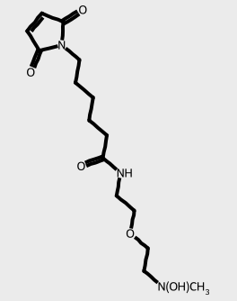 CN(O)CCOCCNC(=O)CCCCCN1C(=O)C=CC1=O